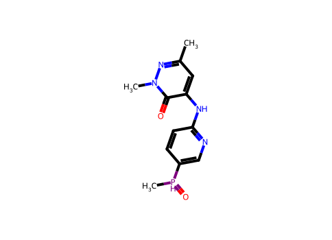 Cc1cc(Nc2ccc([PH](C)=O)cn2)c(=O)n(C)n1